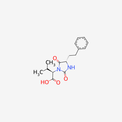 CC(C)[C@H](C(=O)O)N1C(=O)N[C@@H](CCc2ccccc2)C1=O